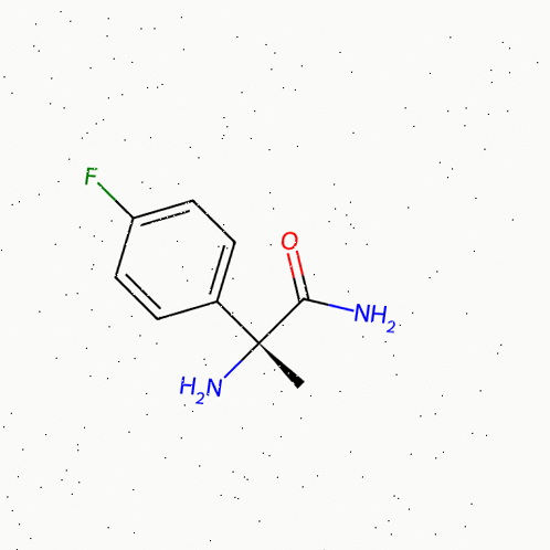 C[C@](N)(C(N)=O)c1ccc(F)cc1